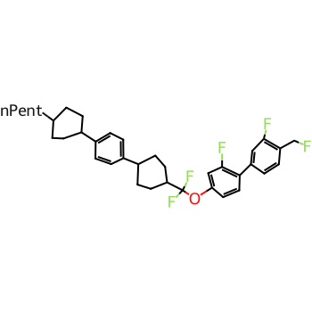 CCCCCC1CCC(c2ccc(C3CCC(C(F)(F)Oc4ccc(-c5ccc(CF)c(F)c5)c(F)c4)CC3)cc2)CC1